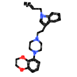 C=CCn1cc(CCN2CCN(c3cccc4c3OCCO4)CC2)c2ccccc21